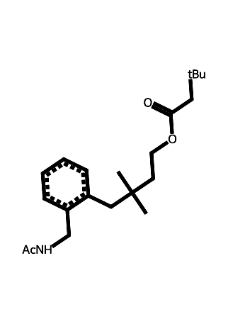 CC(=O)NCc1ccccc1CC(C)(C)CCOC(=O)CC(C)(C)C